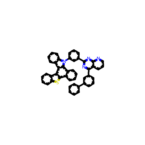 c1ccc(-c2cccc(-c3nc(-c4cccc(-n5c6ccccc6c6c7c8ccccc8sc7c7ccccc7c65)c4)nc4ncccc34)c2)cc1